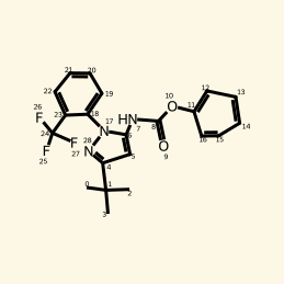 CC(C)(C)c1cc(NC(=O)Oc2ccccc2)n(-c2ccccc2C(F)(F)F)n1